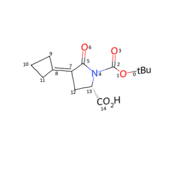 CC(C)(C)OC(=O)N1C(=O)C(=C2CCC2)C[C@H]1C(=O)O